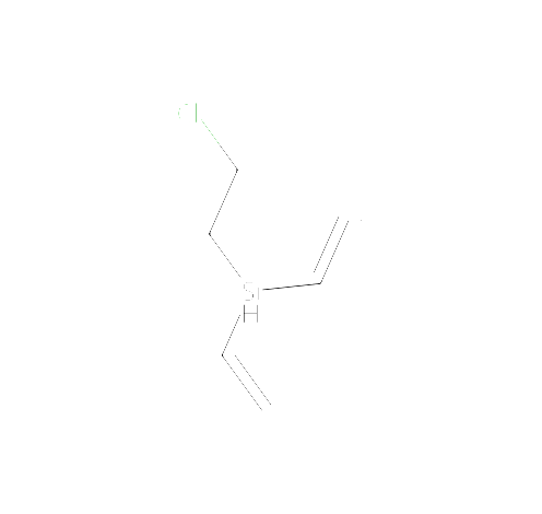 C=C[SiH](C=C)CCCl